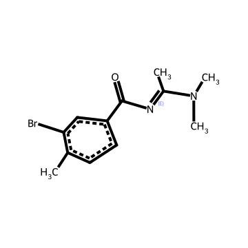 C/C(=N\C(=O)c1ccc(C)c(Br)c1)N(C)C